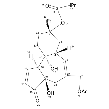 CC(=O)OCC1=C[C@H]2C[C@](OC(=O)C(C)C)(C(C)C)CC[C@]2(O)[C@@H]2C=CC(=O)[C@@]2(O)C1